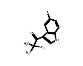 CC(C)(C)C(=O)c1c[nH]c2ccc(F)cc12